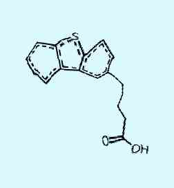 O=C(O)CCCc1ccc2sc3ccccc3c2c1